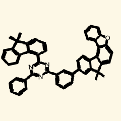 CC1(C)C2=C(CCC=C2)c2c(-c3nc(-c4ccccc4)nc(-c4cccc(-c5ccc6c(c5)C(C)(C)c5ccc7oc8ccccc8c7c5-6)c4)n3)cccc21